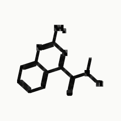 CCN(C)C(=O)c1nc(N)nc2ccccc12